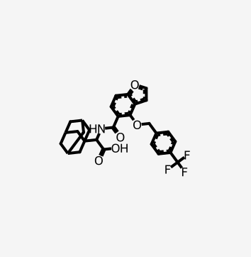 O=C(NC(C(=O)O)C12CC3CC(CC(C3)C1)C2)c1ccc2occc2c1OCc1ccc(C(F)(F)F)cc1